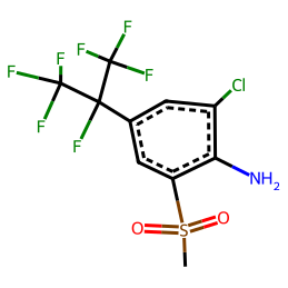 CS(=O)(=O)c1cc(C(F)(C(F)(F)F)C(F)(F)F)cc(Cl)c1N